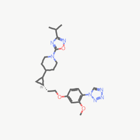 COc1cc(OCC[C@@H]2CC2C2CCN(c3nc(C(C)C)no3)CC2)ccc1-n1cnnn1